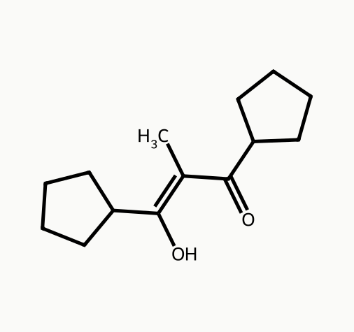 C/C(C(=O)C1CCCC1)=C(/O)C1CCCC1